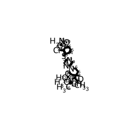 C[C@@H]1OCC2(CCN(c3cnc(Sc4cccc(S(N)(=O)=O)c4Cl)cn3)CC2)[C@@H]1N(C(=O)O)C(C)(C)C